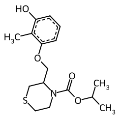 Cc1c(O)cccc1OCC1CSCCN1C(=O)OC(C)C